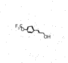 OCC=Cc1ccc(OC(F)(F)F)cc1